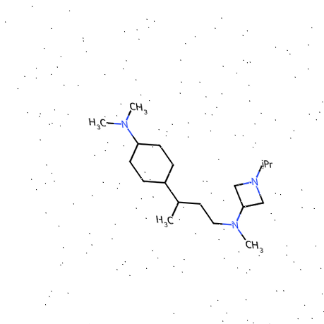 CC(CCN(C)C1CN(C(C)C)C1)C1CCC(N(C)C)CC1